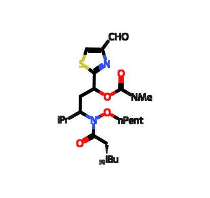 CCCCCON(C(=O)C[C@@H](C)CC)C(CC(OC(=O)NC)c1nc(C=O)cs1)C(C)C